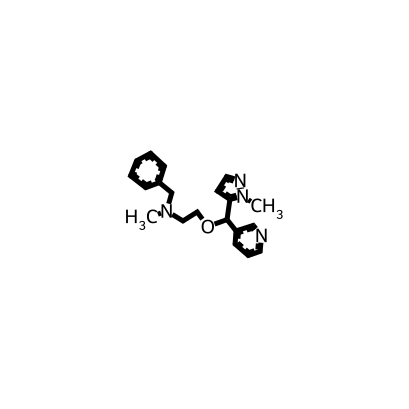 CN(CCOC(c1cccnc1)c1ccnn1C)Cc1ccccc1